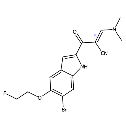 CN(C)/C=C(\C#N)C(=O)c1cc2cc(OCCF)c(Br)cc2[nH]1